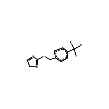 FC(F)(F)c1ccc(CSC2=NCC=N2)cc1